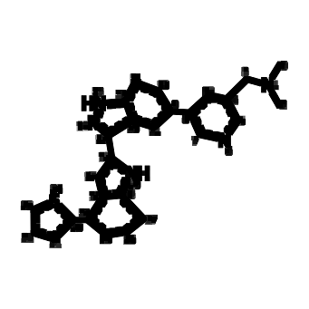 CN(C)Cc1cncc(-c2ccc3[nH]nc(-c4cc5c(-c6cccs6)cccc5[nH]4)c3c2)c1